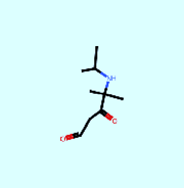 CC(C)NC(C)(C)C(=O)CC=O